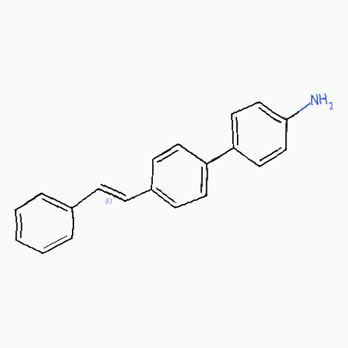 Nc1ccc(-c2ccc(/C=C/c3ccccc3)cc2)cc1